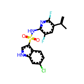 C=C(C)c1cc(F)c(NS(=O)(=O)c2c[nH]c3cc(Cl)ccc23)nc1F